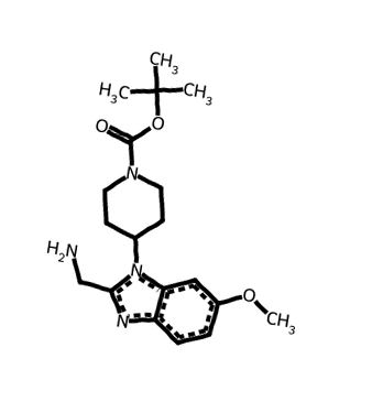 COc1ccc2nc(CN)n(C3CCN(C(=O)OC(C)(C)C)CC3)c2c1